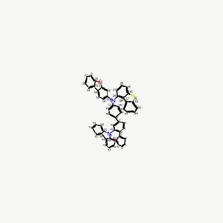 c1ccc(-c2ccc(-c3ccc(N(c4ccc5c(c4)oc4ccccc45)c4cccc5sc6ccccc6c45)cc3)cc2-n2c3ccccc3c3ccccc32)cc1